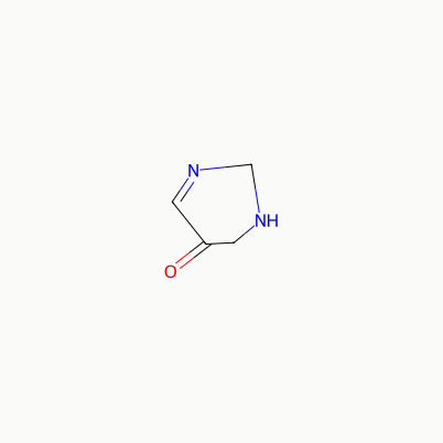 O=C1C=NCNC1